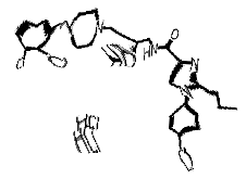 CCCc1nc(C(=O)NCC(O)CN2CCN(c3cccc(Cl)c3Cl)CC2)cn1-c1ccc(Cl)cc1.Cl.Cl